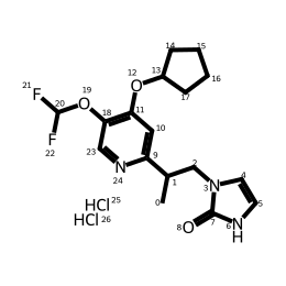 CC(Cn1cc[nH]c1=O)c1cc(OC2CCCC2)c(OC(F)F)cn1.Cl.Cl